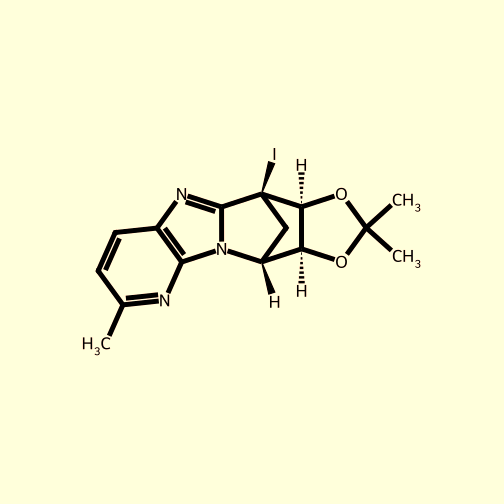 Cc1ccc2nc3n(c2n1)[C@@H]1C[C@@]3(I)[C@H]2OC(C)(C)O[C@@H]12